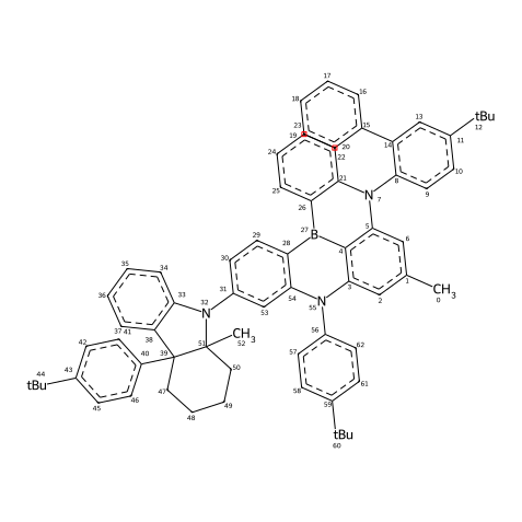 Cc1cc2c3c(c1)N(c1ccc(C(C)(C)C)cc1-c1ccccc1)c1ccccc1B3c1ccc(N3c4ccccc4C4(c5ccc(C(C)(C)C)cc5)CCCCC34C)cc1N2c1ccc(C(C)(C)C)cc1